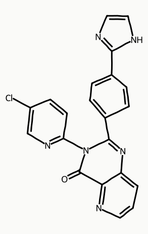 O=c1c2ncccc2nc(-c2ccc(-c3ncc[nH]3)cc2)n1-c1ccc(Cl)cn1